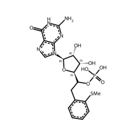 CSc1ccccc1CC(OP(=O)(O)O)[C@H]1O[C@@H](n2cnc3c(=O)[nH]c(N)nc32)[C@H](O)[C@@H]1O